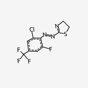 Fc1cc(C(F)(F)F)cc(Cl)c1/N=N/C1=NCCS1